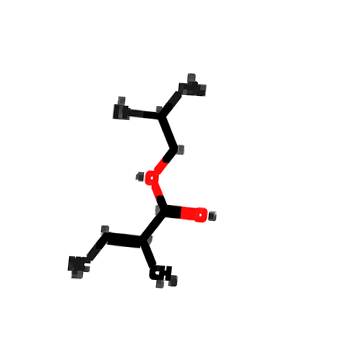 CCCCC(CC)COC(=O)C(C)=CC#N